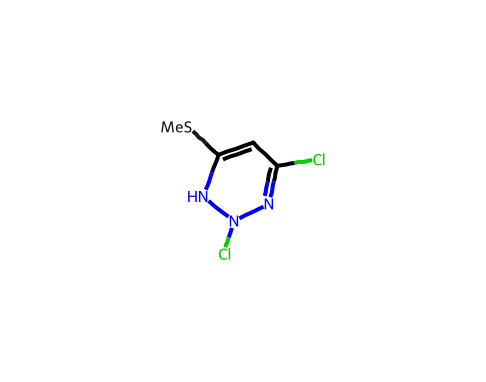 CSC1=CC(Cl)=NN(Cl)N1